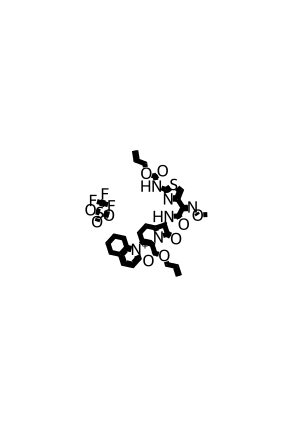 C=CCOC(=O)Nc1nc(/C(=N/OC)C(=O)N[C@H]2C(=O)N3C(C(=O)OCC=C)=C([n+]4cccc5c4CCCC5)CCC23)cs1.O=S(=O)([O-])C(F)(F)F